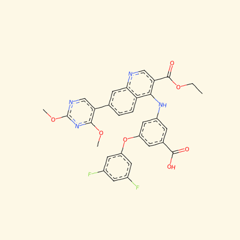 CCOC(=O)c1cnc2cc(-c3cnc(OC)nc3OC)ccc2c1Nc1cc(Oc2cc(F)cc(F)c2)cc(C(=O)O)c1